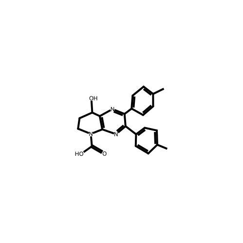 Cc1ccc(-c2nc3c(nc2-c2ccc(C)cc2)N(C(=O)O)CCC3O)cc1